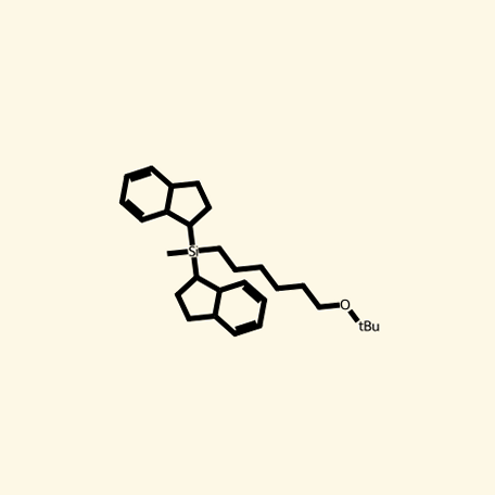 CC(C)(C)OCCCCCC[Si](C)(C1CCC2C=CC=CC21)C1CCC2C=CC=CC21